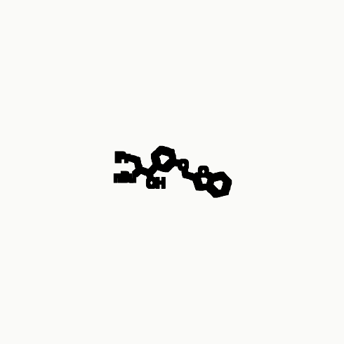 CCCCC(CC(C)C)C(O)c1cccc(OCc2cc3ccccc3o2)c1